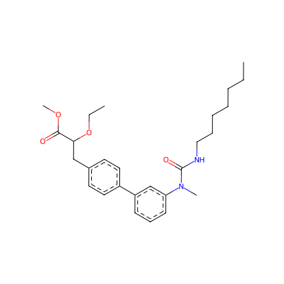 CCCCCCCNC(=O)N(C)c1cccc(-c2ccc(CC(OCC)C(=O)OC)cc2)c1